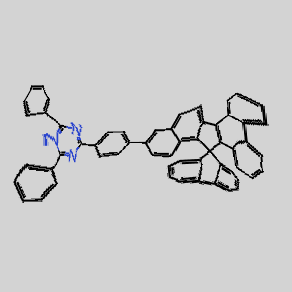 c1ccc(-c2nc(-c3ccccc3)nc(-c3ccc(-c4ccc5c6c(ccc5c4)-c4c(c5ccccc5c5ccccc45)C64c5ccccc5-c5ccccc54)cc3)n2)cc1